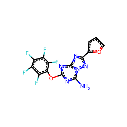 Nc1nc(Oc2c(F)c(F)c(F)c(F)c2F)nc2nc(-c3ccco3)nn12